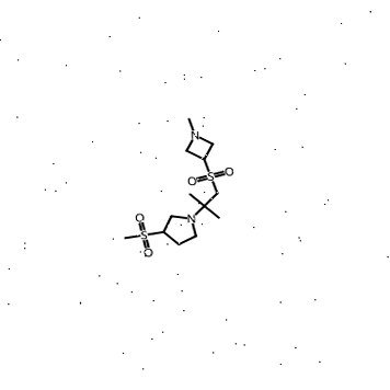 CN1CC(S(=O)(=O)CC(C)(C)N2CCC(S(C)(=O)=O)C2)C1